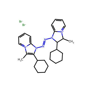 Cc1c(C2CCCCC2)n(/N=N/N2c3cccc[n+]3C(C)C2C2CCCCC2)c2cccc[n+]12.[Br-].[Br-]